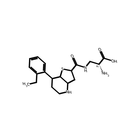 CCc1ccccc1C1CCNC2CC(C(=O)NC[C@@H](N)C(=O)O)SC21